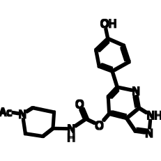 CC(=O)N1CCC(NC(=O)Oc2cc(-c3ccc(O)cc3)nc3[nH]ncc23)CC1